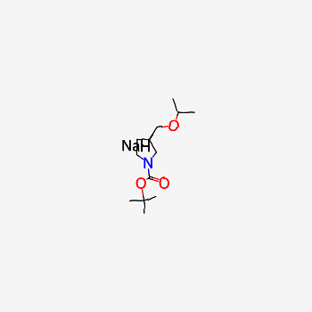 CC(C)OCC1CCN(C(=O)OC(C)(C)C)C1.[NaH]